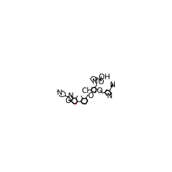 Cc1c(COc2cc(OCc3cncc(C#N)c3)c(CN3CCCC[C@H]3C(=O)O)cc2Cl)cccc1-c1ccc2oc(C3CCN(C)CC3)nc2c1C